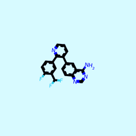 Nc1ncnc2ccc(-c3cccnc3-c3ccc(F)c(C(F)F)c3)cc12